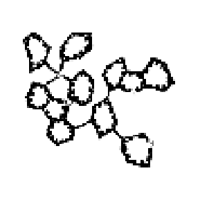 c1ccc([Si](c2ccccc2)(c2ccccc2)c2cccc3c2oc2c(-c4cc(-c5cccnc5)cc(-c5cccc6c5oc5ccccc56)c4)cccc23)cc1